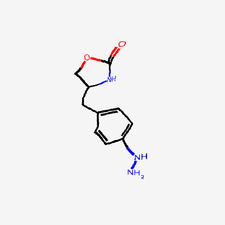 NNc1ccc(CC2COC(=O)N2)cc1